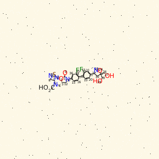 O=C1O[C@@H](CN(C(=O)O)c2cnsn2)CN1c1ccc(-c2ccc(C3=NOC(CO)(CO)C3)cc2F)c(F)c1